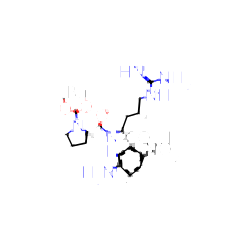 CC(C)(C)OC(=O)N1CCC[C@H]1C(=O)NC(CCCNC(=N)N)C(=O)O.Nc1ccc([N+](=O)[O-])cc1